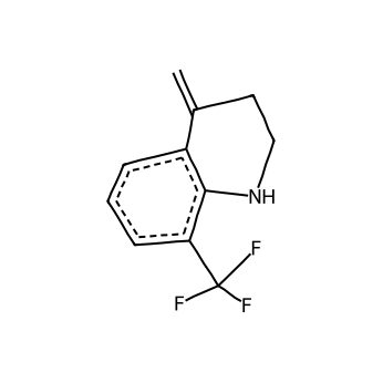 C=C1CCNc2c1cccc2C(F)(F)F